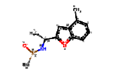 Cc1cccc2oc([C@@H](C)N[S@@+]([O-])C(C)(C)C)cc12